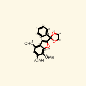 COc1cc(C=O)c2cc(C3(c4ccccc4)OCCO3)oc2c1OC